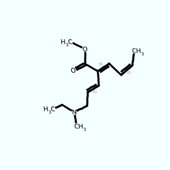 C\C=C/C=C(\C=C\CN(C)CC)C(=O)OC